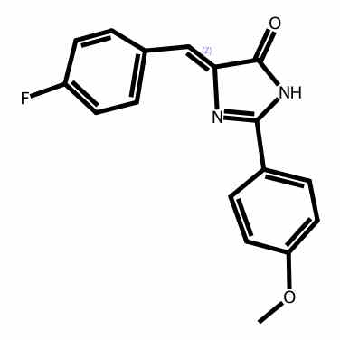 COc1ccc(C2=N/C(=C\c3ccc(F)cc3)C(=O)N2)cc1